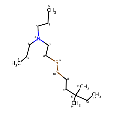 CCCN(CCC)CCSSCCC(C)(C)CC